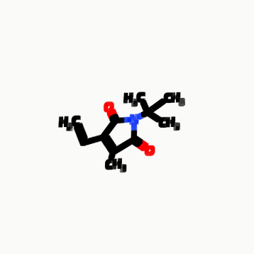 C=CC1=C(C)C(=O)N(C(C)(C)C)C1=O